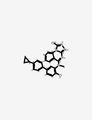 CN(c1cc(-c2ccc(C3CC3)cc2)ccc1Cl)c1nc2nnc(Cl)n2c2ccccc12